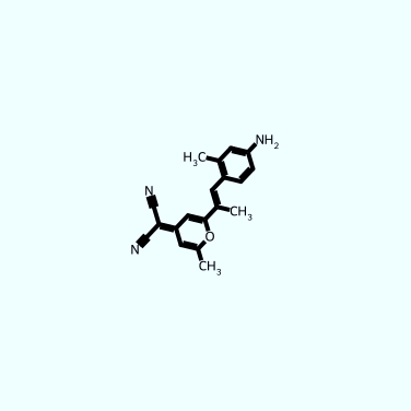 CC1=CC(=C(C#N)C#N)C=C(C(C)=Cc2ccc(N)cc2C)O1